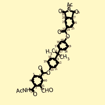 CC(=O)NC(=O)c1ccc(C(=O)Oc2ccc(C(C)(C)c3ccc(OC(=O)c4ccc5c(c4)C(=O)N(C(C)=O)C5=O)cc3)cc2)cc1C=O